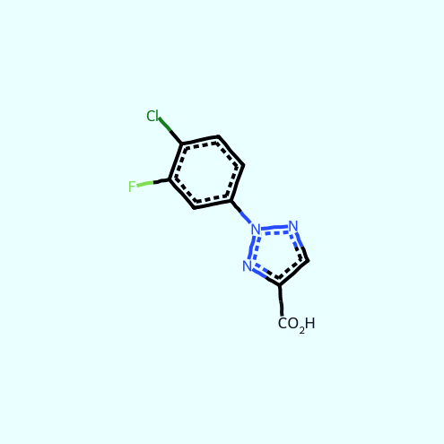 O=C(O)c1cnn(-c2ccc(Cl)c(F)c2)n1